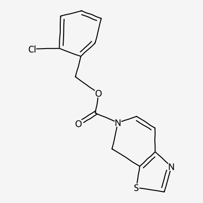 O=C(OCc1ccccc1Cl)N1C=Cc2ncsc2C1